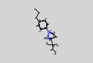 CCCc1ccc(-n2ccc(C(C)(C)CC)n2)cc1